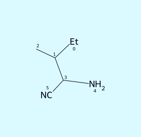 CCC(C)C(N)C#N